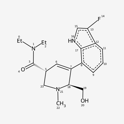 CCN(CC)C(=O)[C@@H]1C=C(c2cccc3c(F)c[nH]c23)[C@@H](CO)N(C)C1